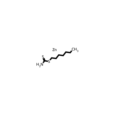 CCCCCCCSC(N)=S.[Zn]